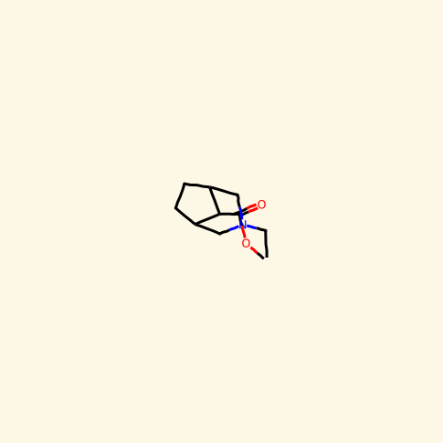 CCN1CC2CCC(C1)C2C(=O)OC